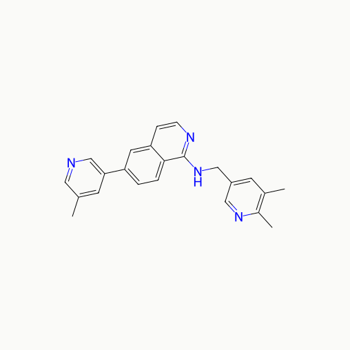 Cc1cncc(-c2ccc3c(NCc4cnc(C)c(C)c4)nccc3c2)c1